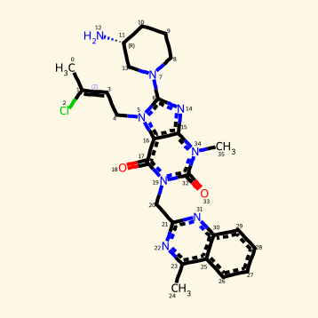 C/C(Cl)=C/Cn1c(N2CCC[C@@H](N)C2)nc2c1c(=O)n(Cc1nc(C)c3ccccc3n1)c(=O)n2C